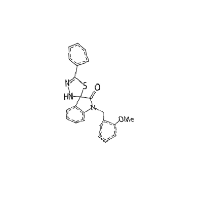 COc1ccccc1CN1C(=O)C2(NN=C(c3ccccc3)S2)c2ccccc21